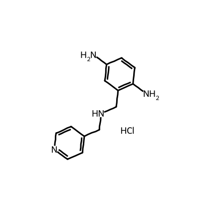 Cl.Nc1ccc(N)c(CNCc2ccncc2)c1